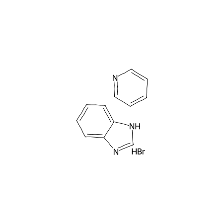 Br.c1ccc2[nH]cnc2c1.c1ccncc1